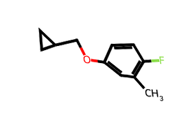 Cc1cc(OCC2CC2)ccc1F